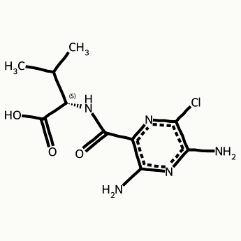 CC(C)[C@H](NC(=O)c1nc(Cl)c(N)nc1N)C(=O)O